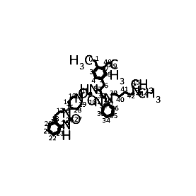 CCc1ccc(CC(NC(=O)ON2CCC(N3CCc4ccccc4NC3=O)CC2)c2nc3ccccc3n2CCCCN(C)C)cc1CC